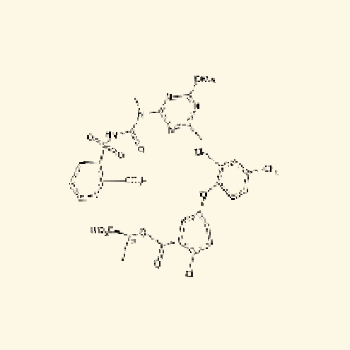 COc1nc(C)nc(N(C)C(=O)NS(=O)(=O)c2ccccc2C(=O)O)n1.C[C@H](OC(=O)c1cc(Oc2ccc(C(F)(F)F)cc2Cl)ccc1Cl)C(=O)O